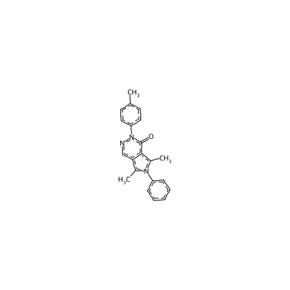 Cc1ccc(-n2ncc3c(C)n(-c4ccccc4)c(C)c3c2=O)cc1